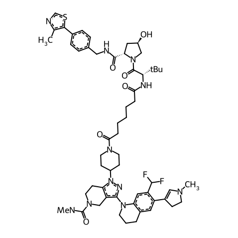 CNC(=O)N1CCc2c(c(N3CCCc4cc(C5=CN(C)CC5)c(C(F)F)cc43)nn2C2CCN(C(=O)CCCCCC(=O)N[C@H](C(=O)N3C[C@H](O)C[C@H]3C(=O)NCc3ccc(-c4scnc4C)cc3)C(C)(C)C)CC2)C1